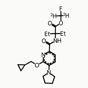 [2H]C([2H])(F)OC(=O)C(CC)(CC)NC(=O)c1ccc(N2CCCC2)c(OCC2CC2)n1